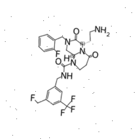 NCC[C@H]1C(=O)N(Cc2ccccc2F)C[C@@H]2N(C(=O)NCc3cc(CF)cc(C(F)(F)F)c3)CCC(=O)N21